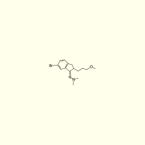 COCCCC1Cc2ccc(Br)cc2/C1=N/N(C)C